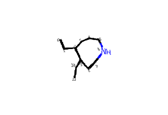 CCC1CCCNCCC1CC